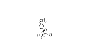 C=Cc1ccc(C(=O)OC(C)CCCl)cc1